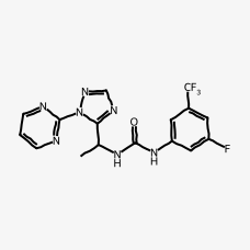 CC(NC(=O)Nc1cc(F)cc(C(F)(F)F)c1)c1ncnn1-c1ncccn1